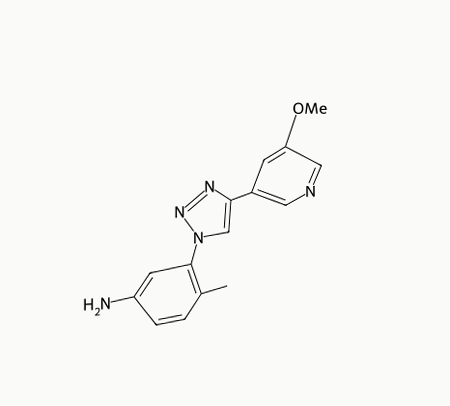 COc1cncc(-c2cn(-c3cc(N)ccc3C)nn2)c1